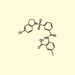 O=C(Nc1ccc(I)cc1C(=O)O)c1cccc(S(=O)(=O)N2CCc3cc(Cl)ccc32)c1